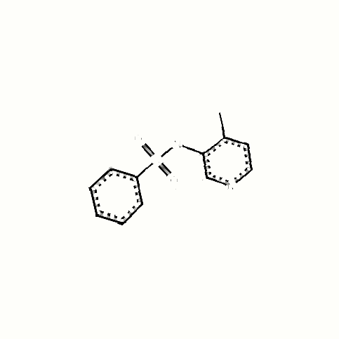 Cc1ccncc1NS(=O)(=O)c1ccccc1